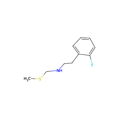 CSCNCCc1ccccc1F